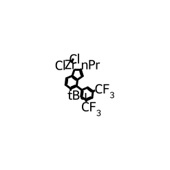 CCCC1=Cc2c(ccc(C(C)(C)C)c2-c2cc(C(F)(F)F)cc(C(F)(F)F)c2)[CH]1[Zr]([Cl])[Cl]